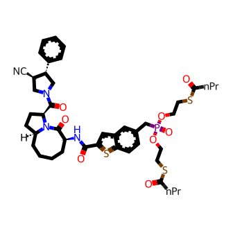 CCCC(=O)SCCOP(=O)(Cc1ccc2sc(C(=O)N[C@H]3CCCC[C@H]4CC[C@@H](C(=O)N5C[C@@H](C#N)[C@H](c6ccccc6)C5)N4C3=O)cc2c1)OCCSC(=O)CCC